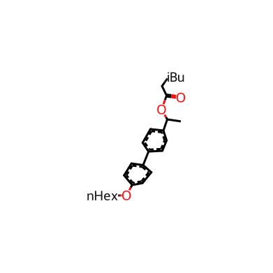 CCCCCCOc1ccc(-c2ccc(C(C)OC(=O)CC(C)CC)cc2)cc1